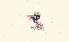 C[C@H](NC1(C(=O)O)CC2(CCN(C(=O)OC(C)(C)C)CC2)C1)c1ccccc1